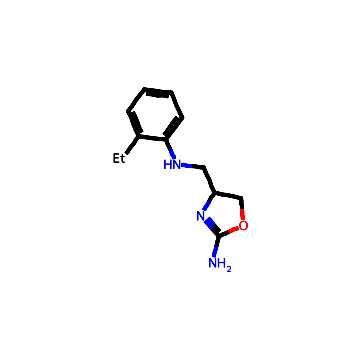 CCc1ccccc1NCC1COC(N)=N1